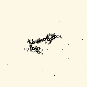 CCn1c2ccc(C(=O)c3c(C)cc(C)cc3C)cc2c2cc(C(=NCC(=O)O)c3ccc(OCC(F)(F)C(F)(F)C(F)(F)C(F)(F)COc4ccc(C(=NOC(C)=O)c5ccc6c(c5)c5cc(C(=O)c7c(C)cc(C)cc7C)ccc5n6CC)cc4)cc3)ccc21